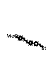 CCC=CC[C@H]1CC[C@H](c2ccc(CCCCc3ccc(COC)cc3)cc2)CC1